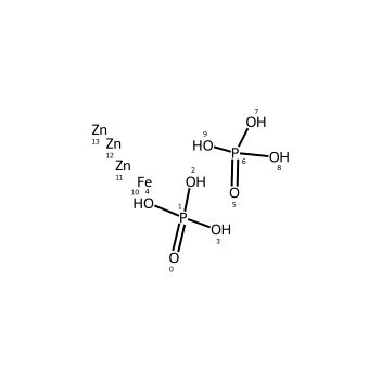 O=P(O)(O)O.O=P(O)(O)O.[Fe].[Zn].[Zn].[Zn]